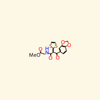 COC(=O)CNC(=O)C(C(=O)c1ccc2c(c1)OCO2)=C1SC=CS1